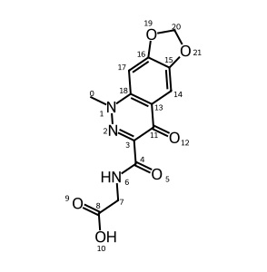 Cn1nc(C(=O)NCC(=O)O)c(=O)c2cc3c(cc21)OCO3